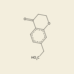 O=C(O)Cc1ccc2c(c1)OCCC2=O